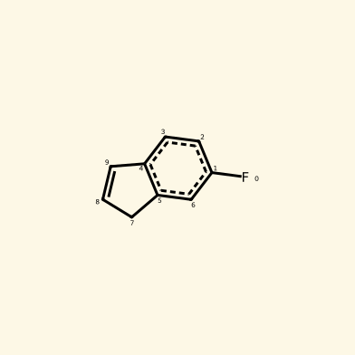 Fc1ccc2c(c1)CC=C2